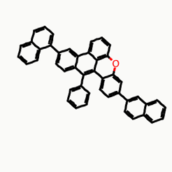 c1ccc(-c2c3c4c(cccc4c4cc(-c5cccc6ccccc56)ccc24)Oc2cc(-c4ccc5ccccc5c4)ccc2-3)cc1